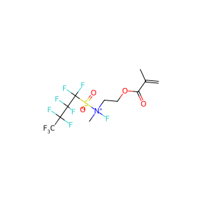 C=C(C)C(=O)OCC[N+](C)(F)S(=O)(=O)C(F)(F)C(F)(F)C(F)(F)C(F)(F)F